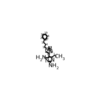 CCc1nc(N)nc(N)c1-c1cn(CCCc2ccccc2)nn1